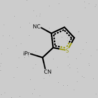 CC(C)C(C#N)c1sccc1C#N